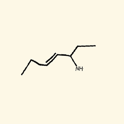 CCC=CC([NH])CC